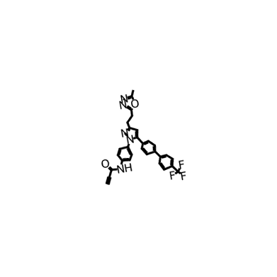 C#CC(=O)Nc1ccc(-n2nc(CCc3nnc(C)o3)cc2-c2ccc(-c3ccc(C(F)(F)F)cc3)cc2)cc1